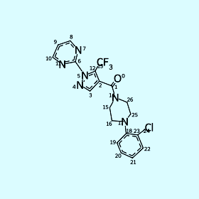 O=C(c1cnn(-c2ncccn2)c1C(F)(F)F)N1CCN(c2ccccc2Cl)CC1